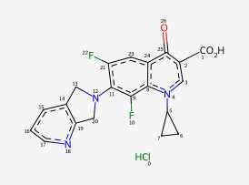 Cl.O=C(O)c1cn(C2CC2)c2c(F)c(N3Cc4cccnc4C3)c(F)cc2c1=O